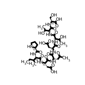 CCC(C)[C@H](NC(=O)[C@@H]1CCCN1)C(=O)N[C@@H](CC(=O)O)C(=O)N[C@@H](CC(C)=O)C(=O)N[C@@H](CC(=O)O)C(=O)N[C@H](C(=O)N[C@H](C(=O)N[C@@H](CO)C(=O)O)C(C)O)C(C)O